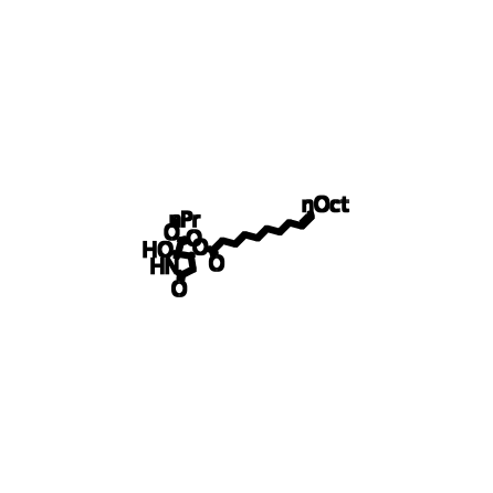 CCCCCCCC/C=C\CCCCCCCC(=O)OC1CC(=O)N[C@]1(O)C(=O)OCCC